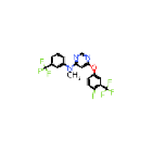 CN(c1cccc(C(F)(F)F)c1)c1cc(Oc2ccc(F)c(C(F)(F)F)c2)ncn1